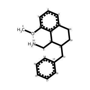 COc1cccc2c1C(CN)C(Cc1ccccc1)CC2